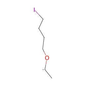 C[CH]OCCCCI